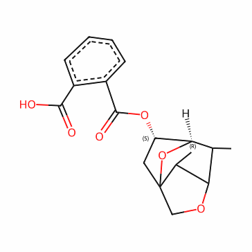 CC1C2OCC3(C[C@H](OC(=O)c4ccccc4C(=O)O)[C@@H]1O3)C2C